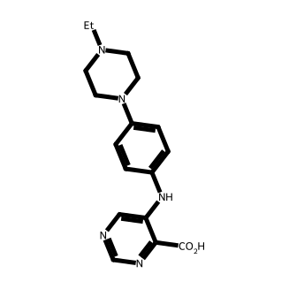 CCN1CCN(c2ccc(Nc3cncnc3C(=O)O)cc2)CC1